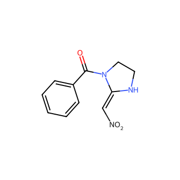 O=C(c1ccccc1)N1CCNC1=C[N+](=O)[O-]